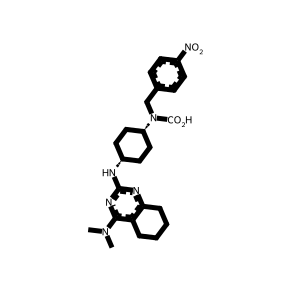 CN(C)c1nc(N[C@H]2CC[C@@H](N(Cc3ccc([N+](=O)[O-])cc3)C(=O)O)CC2)nc2c1CCCC2